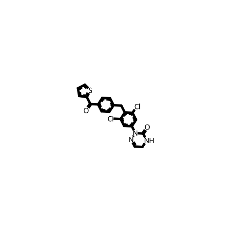 O=C(c1ccc(Cc2c(Cl)cc(N3N=CCNC3=O)cc2Cl)cc1)c1cccs1